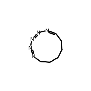 C1=NN=NN=NCCCCC1